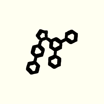 C1=CN(c2ccc(-c3ccccc3)cc2)P(c2cc(-c3ccccc3)cc(-c3ccccc3)c2)O1